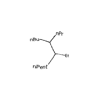 CCCCCC(CC)C(CCC)CCCC